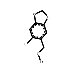 CCOCc1cc2c(cc1Cl)OCO2